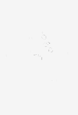 CCCCCCCCCCC=[CH][Ni][CH]=CCCCCCCCCCC.CCCCCCc1cccc(C2=C(CCCC)C(CCCCC)=C(c3cccc(CC)c3)[N+]2=[N-])c1